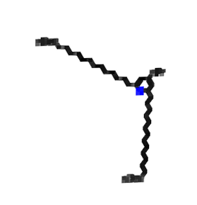 [CH2]CCc1cc(CCCCCCCCCCCCCCCCCCCCCCC)nc(CCCCCCCCCCCCCCCCCCCCCCC)c1